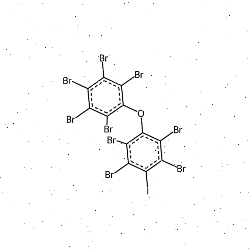 Brc1c(Br)c(Br)c(Oc2c(Br)c(Br)c(I)c(Br)c2Br)c(Br)c1Br